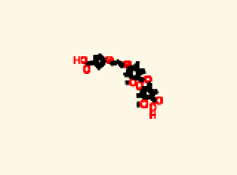 COc1c(C)c(OC(=O)c2c(C)c(C)c(OCCCOc3ccc(C(=O)O)cc3)c(C)c2OC)c(C)c(C)c1C(=O)O